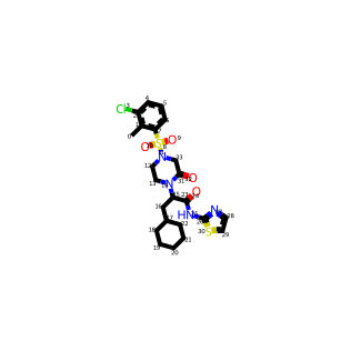 Cc1c(Cl)cccc1S(=O)(=O)N1CCN(C(CC2CCCCC2)C(=O)Nc2nccs2)C(=O)C1